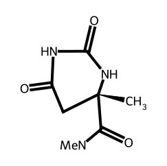 CNC(=O)[C@]1(C)CC(=O)NC(=O)N1